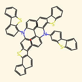 c1ccc(N(c2ccc3c(c2)sc2ccccc23)c2cccc3c2sc2ccccc23)c(-c2ccccc2N(c2ccc3c(c2)sc2c4ccccc4ccc32)c2cccc3c2sc2ccccc23)c1